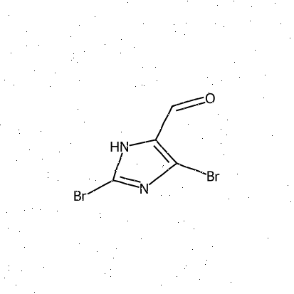 O=Cc1[nH]c(Br)nc1Br